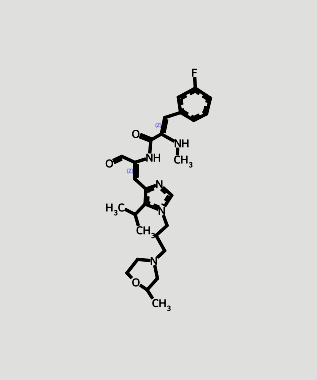 CN/C(=C\c1cccc(F)c1)C(=O)N/C(C=O)=C\c1ncn(CCCN2CCOC(C)C2)c1C(C)C